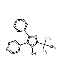 CC(C)(C)c1nc(-c2ccccc2)c(-c2ccncc2)n1O